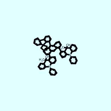 CC1(C)c2ccccc2N(c2ccccc2)c2cccc(-c3cccc4c(-c5cccc6c5C5(CCCC5)c5ccccc5-6)c5cccc(-c6cccc7c6C(C)(C)c6ccccc6N7c6ccccc6)c5cc34)c21